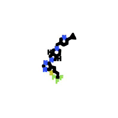 FC(F)(F)Cc1cc2c(N3C[C@H]4CCN(Cc5ccc(C6CC6)nc5)C[C@H]4C3)ncnc2s1